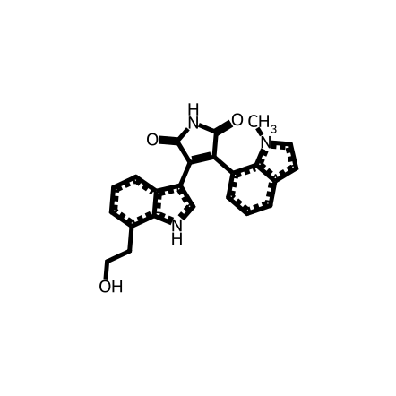 Cn1ccc2cccc(C3=C(c4c[nH]c5c(CCO)cccc45)C(=O)NC3=O)c21